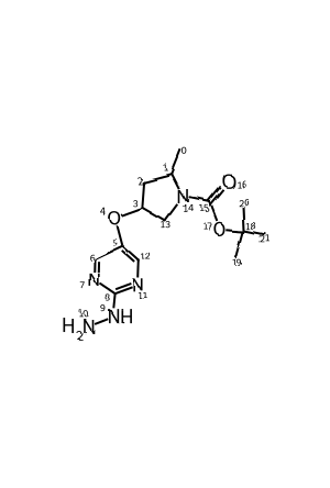 CC1CC(Oc2cnc(NN)nc2)CN1C(=O)OC(C)(C)C